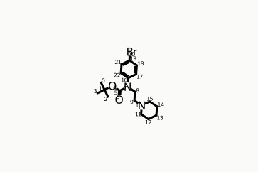 CC(C)(C)OC(=O)N(CCN1CCCCC1)c1ccc(Br)cc1